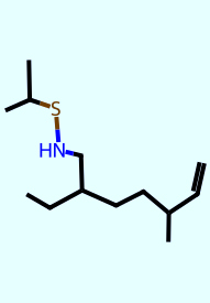 C=CC(C)CCC(CC)CNSC(C)C